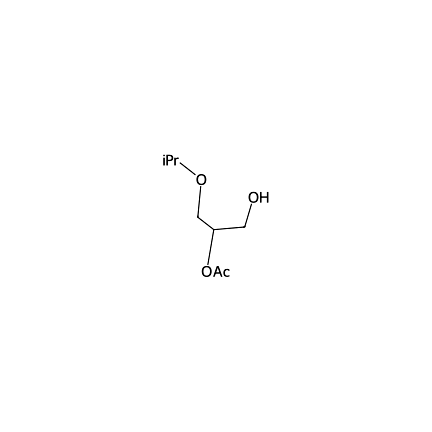 CC(=O)OC(CO)COC(C)C